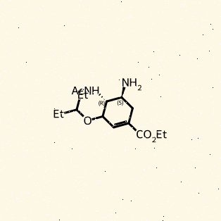 CCOC(=O)C1=CC(OC(CC)CC)[C@H](NC(C)=O)[C@@H](N)C1